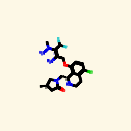 C[C@@H]1CC(=O)N(C[C@H]2NCCc3c(Cl)ccc(OC/C(N)=C(\C(F)F)N(C)N)c32)C1